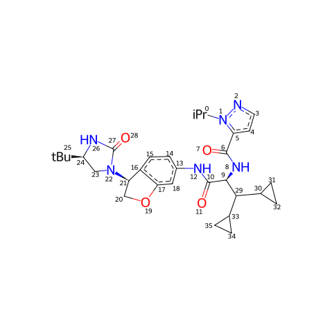 CC(C)n1nccc1C(=O)N[C@H](C(=O)Nc1ccc2c(c1)OC[C@H]2N1C[C@@H](C(C)(C)C)NC1=O)C(C1CC1)C1CC1